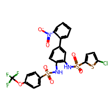 O=[N+]([O-])c1ccccc1-c1ccc(NS(=O)(=O)c2ccc(OC(F)(F)F)cc2)c(NS(=O)(=O)c2ccc(Cl)s2)c1